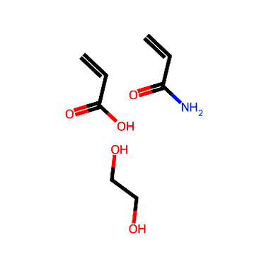 C=CC(=O)O.C=CC(N)=O.OCCO